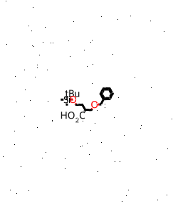 CC(C)(C)[Si](C)(C)OCCC(COCc1ccccc1)C(=O)O